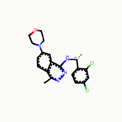 Cc1nnc(N[C@H](C)c2ccc(Cl)cc2Cl)c2cc(N3CCOCC3)ccc12